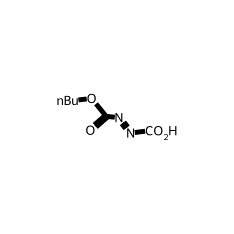 CCCCOC(=O)N=NC(=O)O